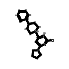 Clc1nc(N2CCCC2)cc(N2CCC(c3ccccc3)CC2)n1